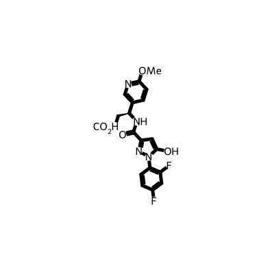 COc1ccc([C@H](CC(=O)O)NC(=O)c2cc(O)n(-c3ccc(F)cc3F)n2)cn1